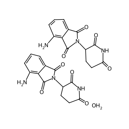 Nc1cccc2c1C(=O)N(C1CCC(=O)NC1=O)C2=O.Nc1cccc2c1C(=O)N(C1CCC(=O)NC1=O)C2=O.O